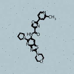 Cc1cc(-c2nc(C(=O)Nc3cc4sc(N5CCOCC5)nc4nc3N3CCCC3)co2)ccn1